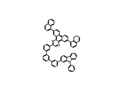 C1=Cc2cccc(-c3ccc4c5ccc(-c6cccc7ccccc67)cc5c5nc(-c6cccc(-c7cccc(-c8cccc(-c9ccc%10c%11ccccc%11n(-c%11ccccc%11)c%10c9)c8)c7)c6)cnc5c4c3)c2CC1